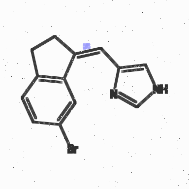 Brc1ccc2c(c1)/C(=C\c1c[nH]cn1)CC2